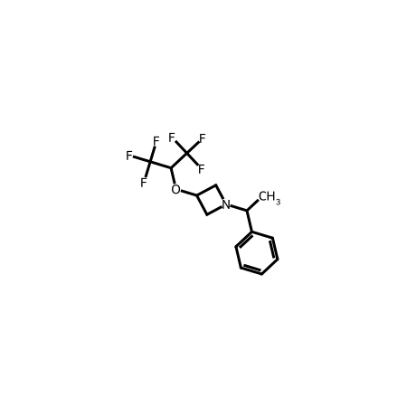 CC(c1ccccc1)N1CC(OC(C(F)(F)F)C(F)(F)F)C1